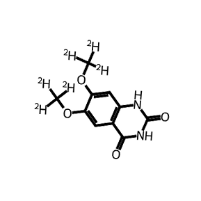 [2H]C([2H])([2H])Oc1cc2[nH]c(=O)[nH]c(=O)c2cc1OC([2H])([2H])[2H]